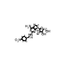 Nc1nc(NN=Cc2ccc([N+](=O)[O-])cc2)nc2c1ncn2[C@@H]1O[C@H](CO)[C@@H](O)[C@H]1O